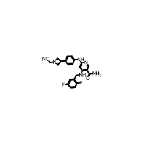 N#CCN1CC(c2ccc(Nc3cc(NCc4cc(F)ccc4F)c(C(N)=O)cn3)cc2)C1